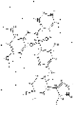 COc1ccc(CN(c2ccncn2)S(=O)(=O)c2ccc(O[C@H]3CCC(F)(F)C[C@@H]3c3ccnn3C)cc2F)c(OC)c1